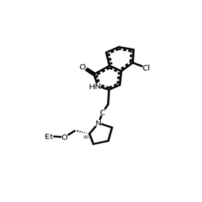 CCOC[C@H]1CCCN1CCc1cc2c(Cl)cccc2c(=O)[nH]1